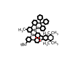 Cc1cc2c3c(c1)N(c1ccc(C(C)(C)C)cc1-c1ccccc1)c1cc4oc5cc6c(cc5c4cc1B3N1c3ccccc3C(c3ccccc3)(c3ccccc3)c3cccc-2c31)C(C)(C)CCC6(C)C